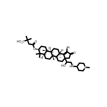 CC(C)C1=C2[C@H]3CC[C@@H]4[C@@]5(C)CC[C@H](OC(=O)CC(C)(C)C(=O)O)C(C)(C)[C@@H]5CC[C@@]4(C)[C@]3(C)CCC2(C(O)CNC2CCN(C)CC2)CC1=O